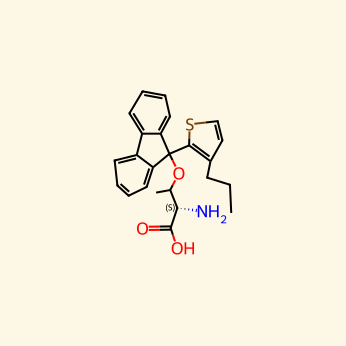 CCCc1ccsc1C1(OC(C)[C@H](N)C(=O)O)c2ccccc2-c2ccccc21